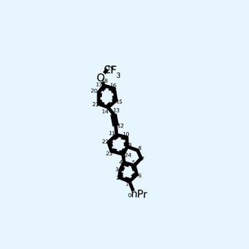 CCCc1ccc2c(c1)CCc1cc(C#Cc3ccc(OC(F)(F)F)cc3)ccc1-2